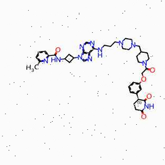 Cc1cccc(C(=O)NC2CC(n3cnc4c(NCCCN5CCN(CC6CCN(C(=O)COc7cccc([C@@H]8CCC(=O)NC8=O)c7)CC6)CC5)ncnc43)C2)n1